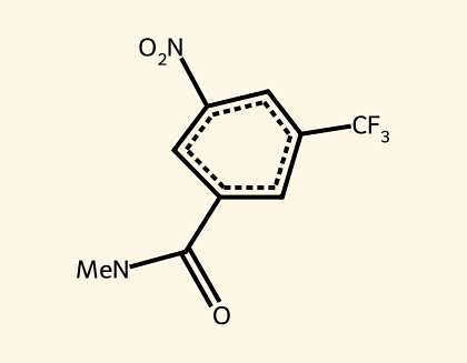 CNC(=O)c1cc([N+](=O)[O-])cc(C(F)(F)F)c1